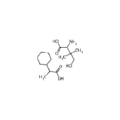 CC(C(=O)O)C1CCCCC1.CC(C)(CO)C(N)C(=O)O